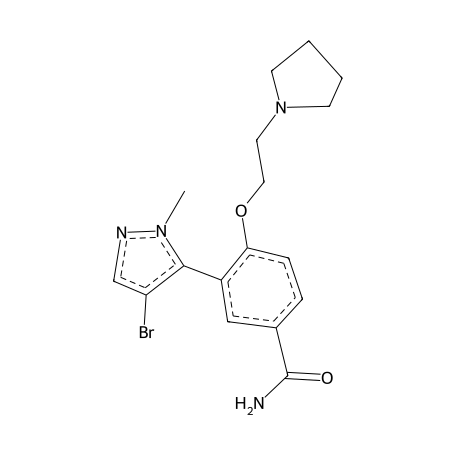 Cn1ncc(Br)c1-c1cc(C(N)=O)ccc1OCCN1CCCC1